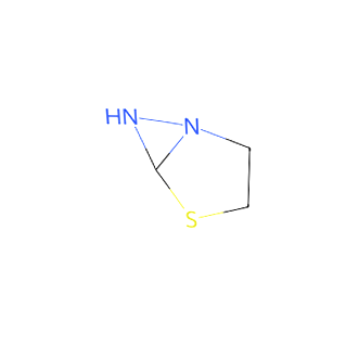 C1CN2NC2S1